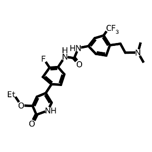 CCOc1cc(-c2ccc(NC(=O)Nc3ccc(CCN(C)C)c(C(F)(F)F)c3)c(F)c2)c[nH]c1=O